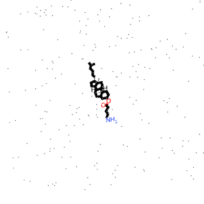 CC(C)CCCC[C@H]1CCC2[C@@H]3CCC4C[C@@H](OC(=O)CCCCN)CC[C@]4(C)[C@H]3CC[C@@]21C